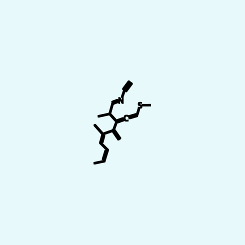 C#C/N=C/C(C)C(=C=CSC)C(=C)/C(C)=C\C=C/C